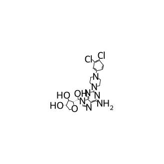 Nc1nc(N2CCN(c3ccc(Cl)c(Cl)c3)CC2)nc2c1ncn2C(O)[C@@H]1OC[C@H](O)[C@H]1O